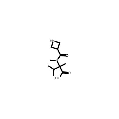 CC(C)C(C)(C(=O)O)N(C)C(=O)C1CNC1